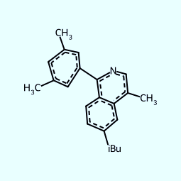 CCC(C)c1ccc2c(-c3cc(C)cc(C)c3)ncc(C)c2c1